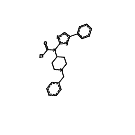 CCC(=O)N(c1ncc(-c2ccccc2)s1)C1CCN(Cc2ccccc2)CC1